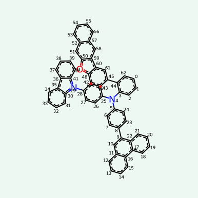 c1ccc(N(c2ccc(-c3cc4ccccc4c4ccccc34)cc2)c2ccc(-n3c4ccccc4c4ccccc43)cc2)c(-c2ccc3oc4cc5ccccc5cc4c3c2)c1